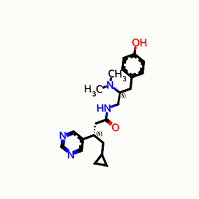 CN(C)[C@H](CNC(=O)C[C@H](CC1CC1)c1cncnc1)Cc1ccc(O)cc1